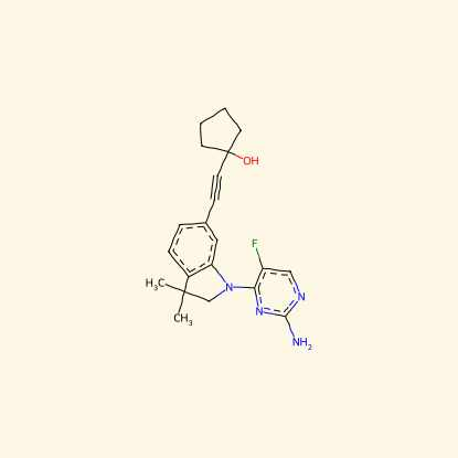 CC1(C)CN(c2nc(N)ncc2F)c2cc(C#CC3(O)CCCC3)ccc21